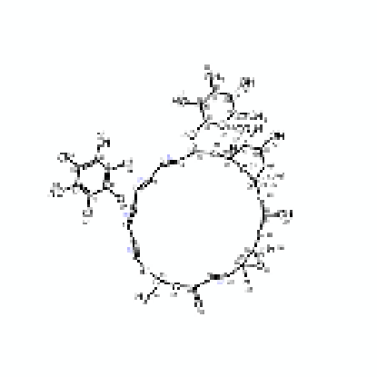 C[C@@H]1C/C=C/C=C/C=C/C=C/[C@H](O[C@@H]2O[C@H](C)[C@@H](O)[C@H](N)[C@@H]2O)C[C@@H]2O[C@](O)(C[C@@H](O)C[C@H]3O[C@@H]3/C=C/C(=O)O1)C[C@H](O)[C@H]2C(=O)O.N#Cc1c(Cl)c(Cl)c(Cl)c(C#N)c1Cl